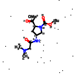 COC(=O)[C@@H]1C[C@@H](NC(=O)CN(C)C)CN1C(=O)OC(C)(C)C